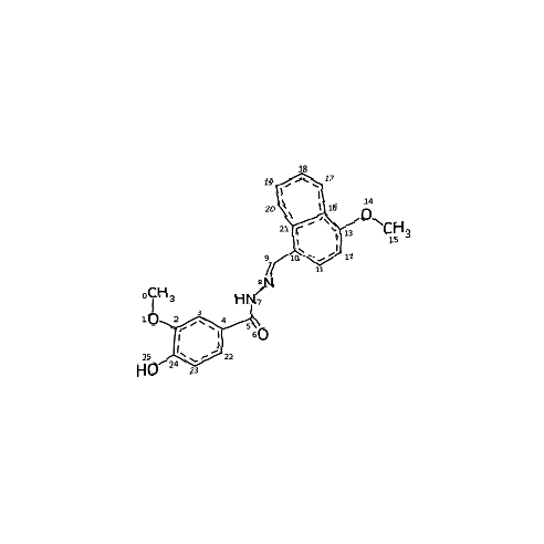 COc1cc(C(=O)N/N=C/c2ccc(OC)c3ccccc23)ccc1O